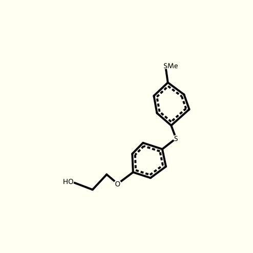 CSc1ccc(Sc2ccc(OCCO)cc2)cc1